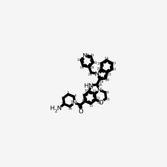 NC1CCCN(C(=O)c2cc3c4c(c2)OCCN4C(c2cc4ccccc4n2Cc2ccncc2)N3)C1